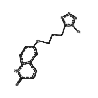 CCn1nnnc1CCCOc1ccc2[nH]c(=O)ccc2c1